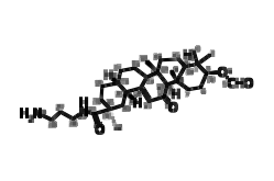 CC1(C)[C@@H](OC=O)CC[C@]2(C)[C@H]3C(=O)C=C4C(CC[C@H]5CC[C@](C)(C(=O)NCCCN)C[C@@H]45)[C@]3(C)CC[C@@H]12